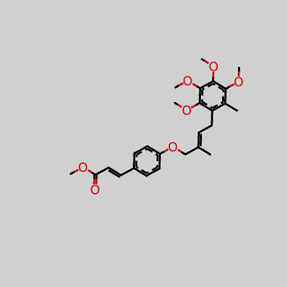 COC(=O)C=Cc1ccc(OCC(C)=CCc2c(C)c(OC)c(OC)c(OC)c2OC)cc1